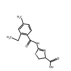 CCc1cc(C)ccc1C(=O)NC1=NC(C(=O)O)CS1